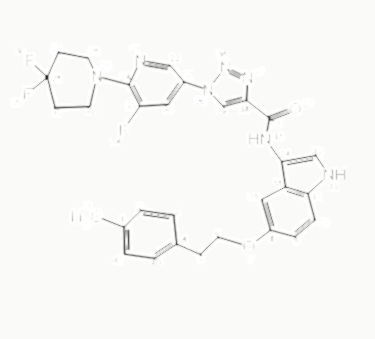 Cc1ccc(CCOc2ccc3[nH]cc(NC(=O)c4cn(-c5cnc(N6CCC(F)(F)CC6)c(F)c5)nn4)c3c2)cc1